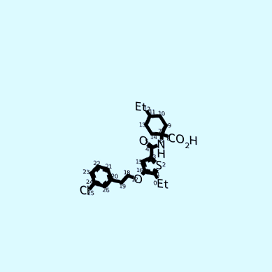 CCc1sc(C(=O)NC2(C(=O)O)CCC(CC)CC2)cc1OCCc1cccc(Cl)c1